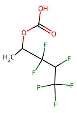 CC(OC(=O)O)C(F)(F)C(F)C(F)(F)F